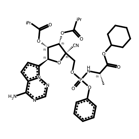 CC(C)C(=O)O[C@H]1[C@H](c2ccc3c(N)ncnn23)O[C@](C#N)(COP(=O)(N[C@@H](C)C(=O)OC2CCCCC2)Oc2ccccc2)[C@H]1OC(=O)C(C)C